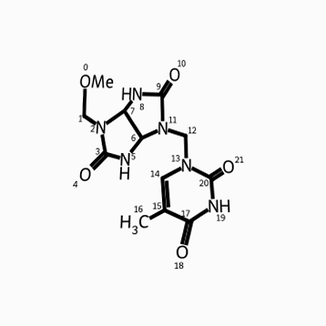 COCN1C(=O)NC2C1NC(=O)N2Cn1cc(C)c(=O)[nH]c1=O